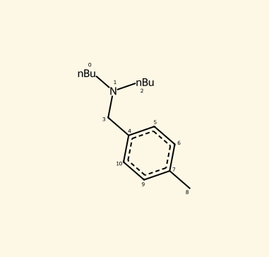 CCCCN(CCCC)Cc1ccc(C)cc1